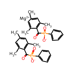 Cc1cc(C)c(C(=O)P(=O)([O-])c2ccccc2)c(C)c1.Cc1cc(C)c(C(=O)P(=O)([O-])c2ccccc2)c(C)c1.[Mg+2]